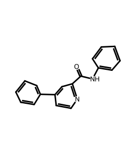 O=C(Nc1ccccc1)c1cc(-c2ccccc2)ccn1